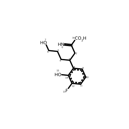 N=C(CC(CCCO)c1cccc(F)c1O)C(=O)O